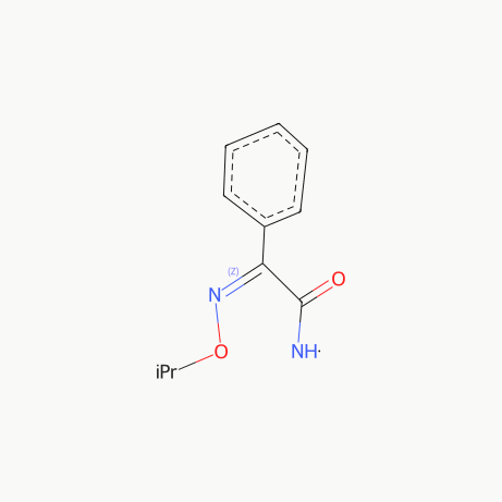 CC(C)O/N=C(\C([NH])=O)c1ccccc1